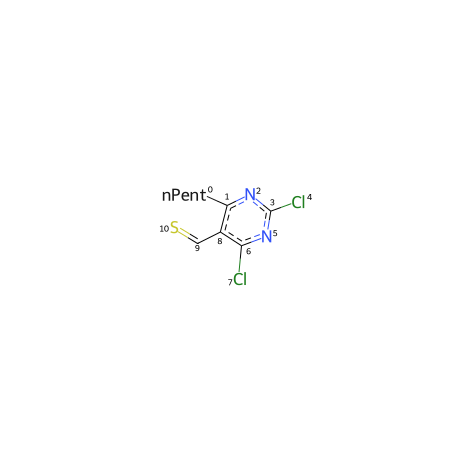 CCCCCc1nc(Cl)nc(Cl)c1C=S